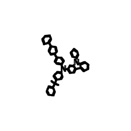 CC(C)(c1ccccc1)c1ccc(N(c2ccc(-c3ccc(-c4ccccc4)cc3)cc2)c2ccc3c4ccccc4n(-c4ccccc4)c3c2)cc1